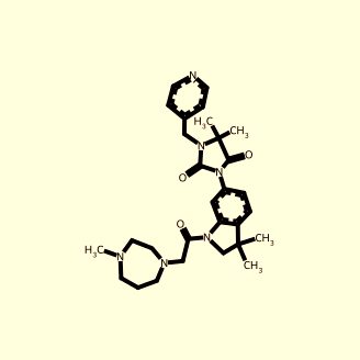 CN1CCCN(CC(=O)N2CC(C)(C)c3ccc(N4C(=O)N(Cc5ccncc5)C(C)(C)C4=O)cc32)CC1